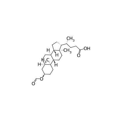 C[C@H](CCC(=O)O)[C@H]1CC[C@H]2[C@@H]3CC[C@@H]4C[C@H](OC=O)CC[C@]4(C)[C@H]3CC[C@]12C